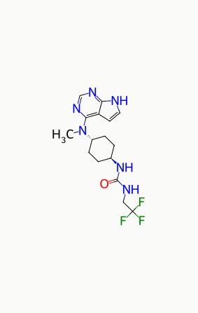 CN(c1ncnc2[nH]ccc12)[C@H]1CC[C@H](NC(=O)NCC(F)(F)F)CC1